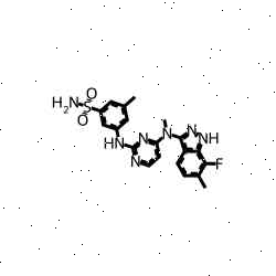 Cc1cc(Nc2nccc(N(C)c3n[nH]c4c(F)c(C)ccc34)n2)cc(S(N)(=O)=O)c1